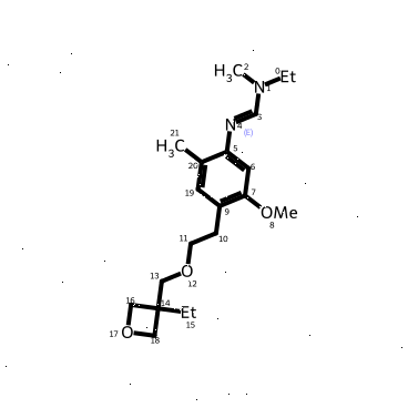 CCN(C)/C=N/c1cc(OC)c(CCOCC2(CC)COC2)cc1C